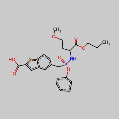 CCCOC(=O)C(CCOC)NP(=O)(Cc1ccc2sc(C(=O)O)cc2c1)Oc1ccccc1